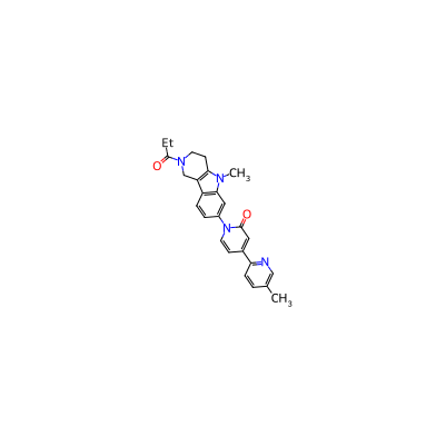 CCC(=O)N1CCc2c(c3ccc(-n4ccc(-c5ccc(C)cn5)cc4=O)cc3n2C)C1